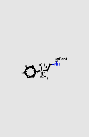 CCCCCNCC[Si](C)(C)c1ccccc1